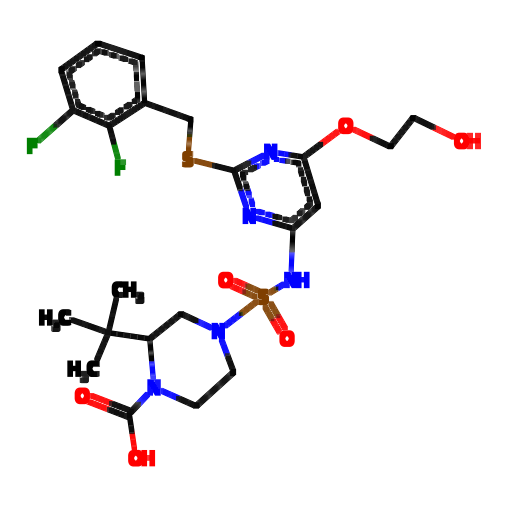 CC(C)(C)C1CN(S(=O)(=O)Nc2cc(OCCO)nc(SCc3cccc(F)c3F)n2)CCN1C(=O)O